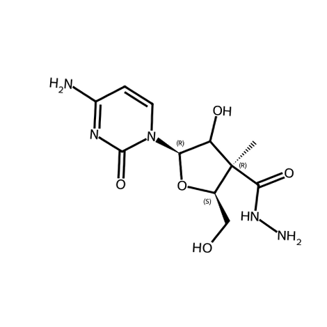 C[C@@]1(C(=O)NN)C(O)[C@H](n2ccc(N)nc2=O)O[C@@H]1CO